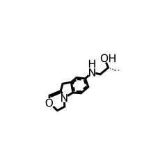 [CH2][C@@H](O)CNc1ccc2c(c1)CC1=COCCN12